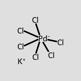 [Cl][Pd-]([Cl])([Cl])([Cl])([Cl])[Cl].[K+]